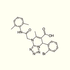 CC1=C(C(=O)O)C(c2ccccc2Br)n2nnnc2N1CC(=O)Nc1c(C)cccc1C